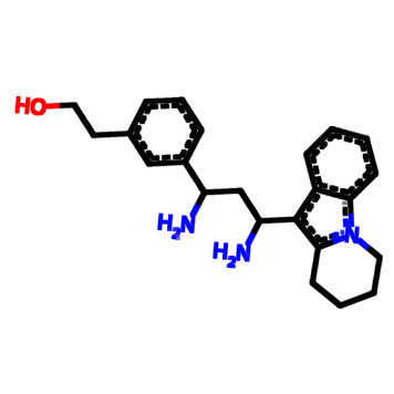 NC(CC(N)c1c2n(c3ccccc13)CCCC2)c1cccc(CCO)c1